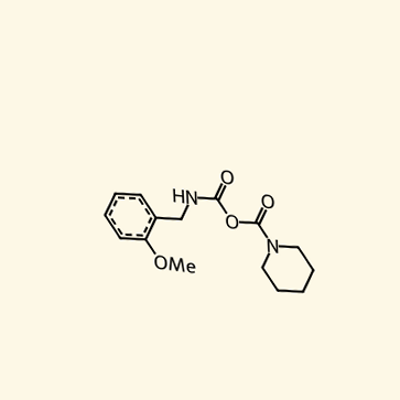 COc1ccccc1CNC(=O)OC(=O)N1CCCCC1